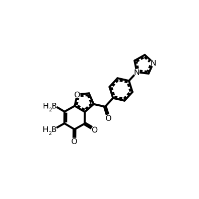 BC1=C(B)c2occ(C(=O)c3ccc(-n4ccnc4)cc3)c2C(=O)C1=O